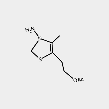 CC(=O)OCCC1=C(C)N(N)CS1